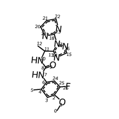 COc1cc(C)c(NC(=O)NC(C)c2ncnn2-c2ncccn2)cc1F